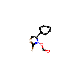 O=[C]On1c(-c2ccccc2)csc1=S